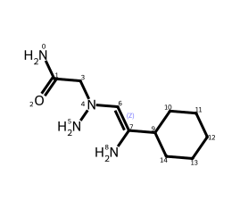 NC(=O)CN(N)/C=C(\N)C1CCCCC1